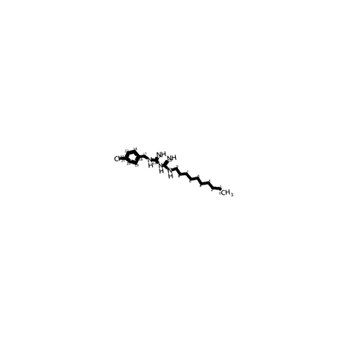 CCCCCCCCCCNC(=N)NC(=N)NCc1ccc(Cl)cc1